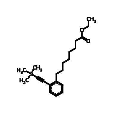 CCOC(=O)CCCCCCCc1ccccc1C#C[Si](C)(C)C